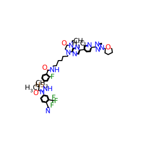 CCN1C(=O)CN(CCCCCCNC(=O)c2ccc([SH]3NN(c4ccc(C#N)c(C(F)(F)F)c4)C(=O)C3(C)C)cc2F)c2ncc(-c3ccc(-c4ncn(C5CCCCO5)n4)nc3C)nc21